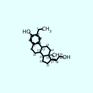 CCc1cc2c(cc1O)CCC1C2CC[C@]2(C)/C(=C\CO)CCC12